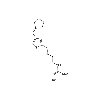 CNC(=C[N+](=O)[O-])NCCSCc1cc(CN2CCCC2)cs1